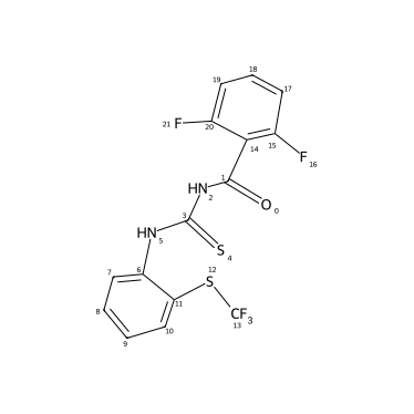 O=C(NC(=S)Nc1ccccc1SC(F)(F)F)c1c(F)cccc1F